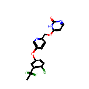 CC(F)(F)c1cc(Oc2ccc(COc3ccnc(=O)[nH]3)nc2)ccc1Cl